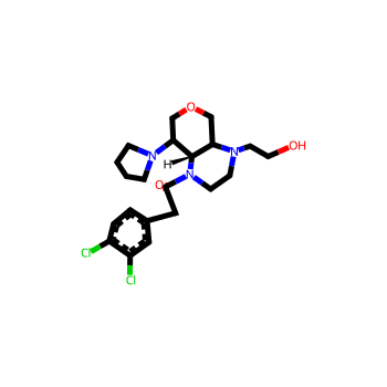 O=C(Cc1ccc(Cl)c(Cl)c1)N1CCN(CCO)C2COCC(N3CCCC3)[C@H]21